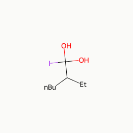 CCCCC(CC)C(O)(O)I